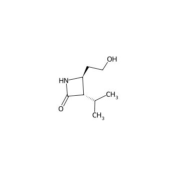 CC(C)[C@@H]1C(=O)N[C@H]1CCO